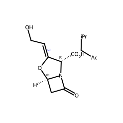 CC(=O)CC(C)C.O=C(O)[C@H]1/C(=C/CO)O[C@@H]2CC(=O)N21